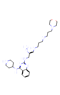 N=N/C(=C\NCCCNCCCN1CCOCC1)CNc1nc(NC2CCNCC2)c2ccccc2n1